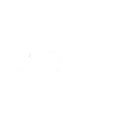 Nc1ccc2c(ccn2CC#Cc2cnc(N3CCC4(CC3)Cc3ccccc3[C@H]4N)c(CO)n2)c1